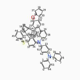 c1ccc(N(c2ccccc2)c2ccc(N(c3cccc(-c4ccc5oc6ccccc6c5c4)c3)c3ccc4c(c3)C3(c5ccccc5S4)c4ccccc4-c4ccccc43)cc2)cc1